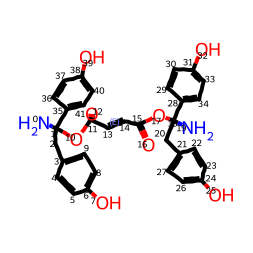 NC(Cc1ccc(O)cc1)(OC(=O)/C=C/C(=O)OC(N)(Cc1ccc(O)cc1)c1ccc(O)cc1)c1ccc(O)cc1